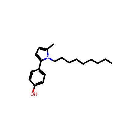 CCCCCCCCCn1c(C)ccc1-c1ccc(O)cc1